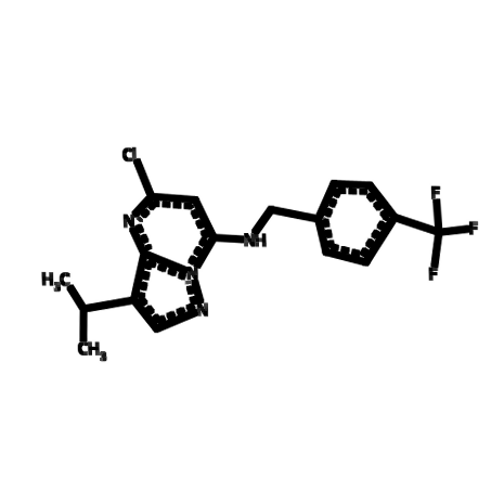 CC(C)c1cnn2c(NCc3ccc(C(F)(F)F)cc3)cc(Cl)nc12